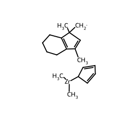 [CH2]C1(C)C=C(C)C2=C1CCCC2.[CH3][Zr]([CH3])[CH]1C=CC=C1